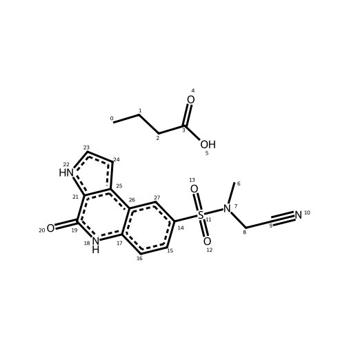 CCCC(=O)O.CN(CC#N)S(=O)(=O)c1ccc2[nH]c(=O)c3[nH]ccc3c2c1